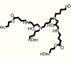 CCCCCCCCCCCCCCN(CCCCN(CCCCCCCCCCCCCC)CC(O)CNCCCC(=O)OCCCCCCCCCCCC)CC(O)CNCCCC(=O)OCCCCCCCCCCCC